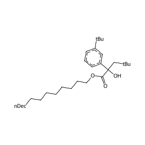 CCCCCCCCCCCCCCCCCCOC(=O)C(O)(CC(C)(C)C)c1cccc(C(C)(C)C)c1